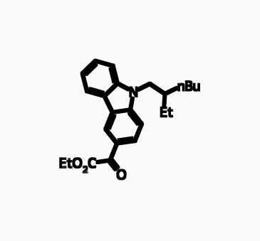 CCCCC(CC)Cn1c2ccccc2c2cc(C(=O)C(=O)OCC)ccc21